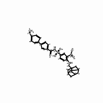 COc1ccc(-c2ccc(C(=O)NS(=O)(=O)c3ccc(NCC45CC6CC(CC(C6)C4)C5)c([N+](=O)[O-])c3)cc2)cc1